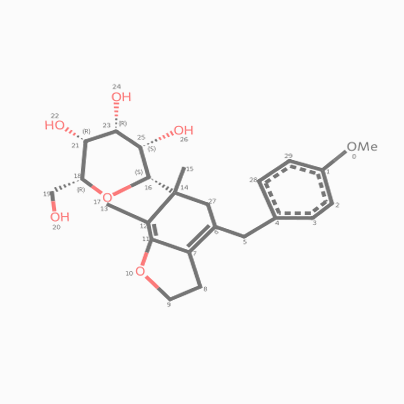 COc1ccc(CC2=C3CCOC3=C(C)C(C)([C@@H]3O[C@H](CO)[C@H](O)[C@H](O)[C@@H]3O)C2)cc1